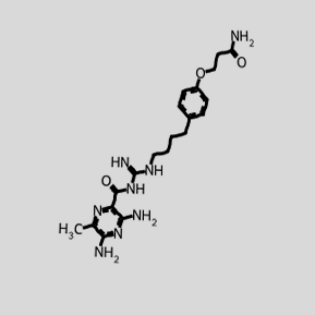 Cc1nc(C(=O)NC(=N)NCCCCc2ccc(OCCC(N)=O)cc2)c(N)nc1N